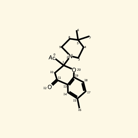 CC(=O)C1(N2CCC(C)(C)CC2)CC(=O)c2cc(C)ccc2O1